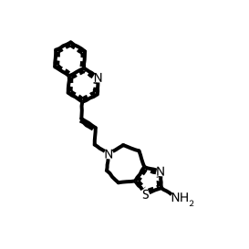 Nc1nc2c(s1)CCN(CC=Cc1cnc3ccccc3c1)CC2